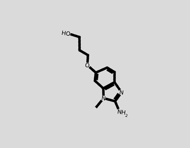 Cn1c(N)nc2ccc(OCCCO)cc21